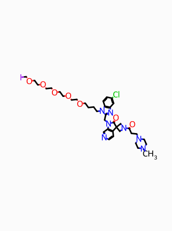 CN1CCN(CCC(=O)N2CC3(C2)C(=O)N(Cc2nc4cc(Cl)ccc4n2CCCCOCCOCCOCCOCCOCI)c2cnccc23)CC1